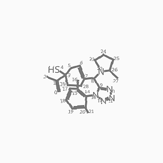 C=C(C)C1(S)CC=C(C(c2nnnn2-c2c(C)cccc2C)N2CCCC2C)CC1